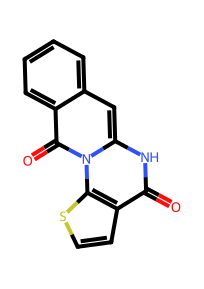 O=c1[nH]c2cc3ccccc3c(=O)n2c2sccc12